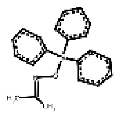 CC(C)=NO[Si](c1ccccc1)(c1ccccc1)c1ccccc1